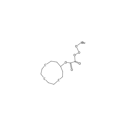 CC(C)(C)OOOC(=O)C(=O)OC1CCCCCCCCCCC1